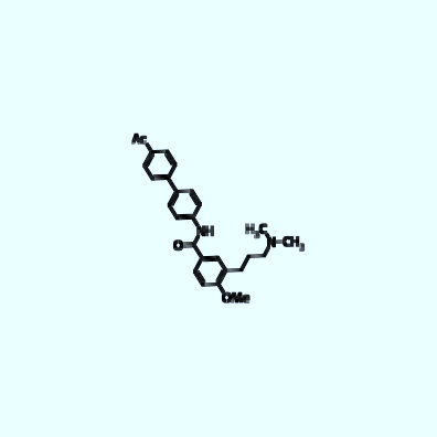 COc1ccc(C(=O)Nc2ccc(-c3ccc(C(C)=O)cc3)cc2)cc1CCCN(C)C